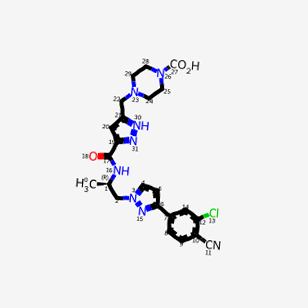 C[C@H](Cn1ccc(-c2ccc(C#N)c(Cl)c2)n1)NC(=O)c1cc(CN2CCN(C(=O)O)CC2)[nH]n1